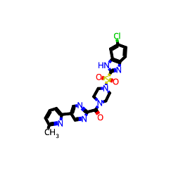 Cc1cccc(-c2cnc(C(=O)N3CCN(S(=O)(=O)c4nc5ccc(Cl)cc5[nH]4)CC3)nc2)n1